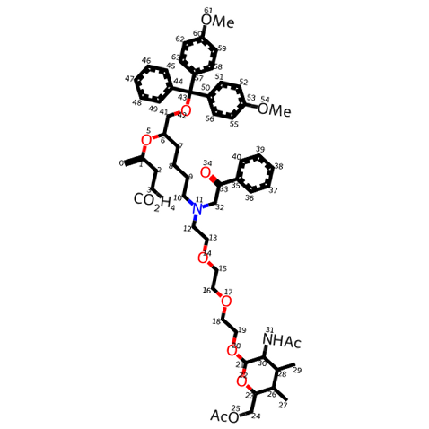 C=C(CCC(=O)O)OC(CCCCN(CCOCCOCCOC1OC(COC(C)=O)C(C)C(C)C1NC(C)=O)CC(=O)c1ccccc1)COC(c1ccccc1)(c1ccc(OC)cc1)c1ccc(OC)cc1